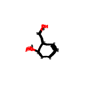 OCC1C=CCCC1O